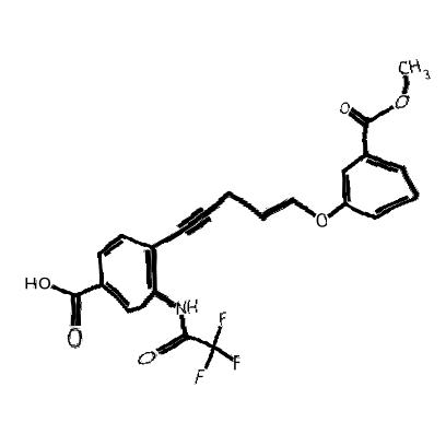 COC(=O)c1cccc(OCCCC#Cc2ccc(C(=O)O)cc2NC(=O)C(F)(F)F)c1